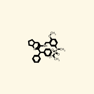 COc1ccc(N(C)S(=O)(=O)C(C)C)cc1CNC1C2CCN(C3CCCC23)C1C(c1ccccc1)c1ccccc1